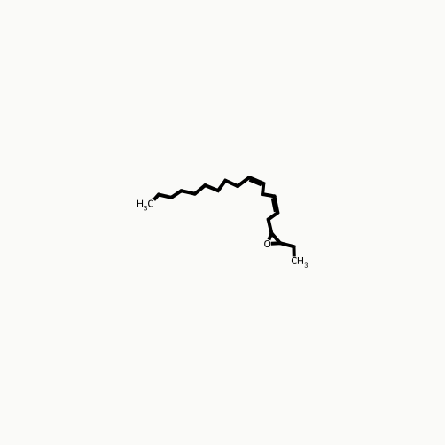 CCCCCCCCC/C=C\C/C=C\CC1OC1CC